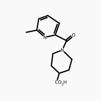 Cc1cccc(C(=O)N2CCC(C(=O)O)CC2)n1